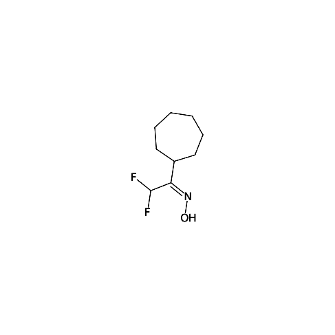 ON=C(C(F)F)C1CCCCCC1